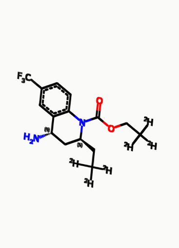 [2H]C([2H])([2H])COC(=O)N1c2ccc(C(F)(F)F)cc2[C@@H](N)C[C@@H]1CC([2H])([2H])[2H]